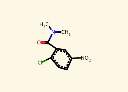 CN(C)C(=O)c1cc([N+](=O)[O-])ccc1Cl